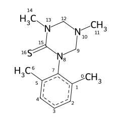 Cc1cccc(C)c1N1CN(C)CN(C)C1=S